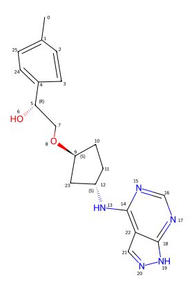 Cc1ccc([C@@H](O)CO[C@H]2CC[C@H](Nc3ncnc4[nH]ncc34)C2)cc1